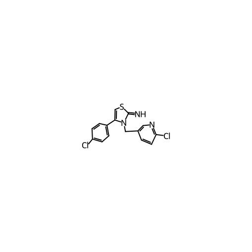 N=c1scc(-c2ccc(Cl)cc2)n1Cc1ccc(Cl)nc1